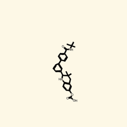 CC(C)(C)NC(=O)c1ccc(-c2cccc(C3Nc4ccc(OC(=O)O)cc4CC3(C)C)c2)cc1